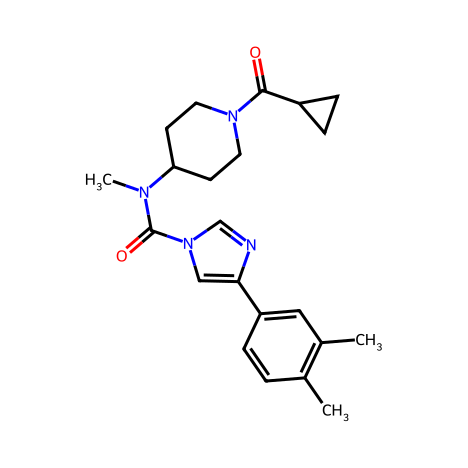 Cc1ccc(-c2cn(C(=O)N(C)C3CCN(C(=O)C4CC4)CC3)cn2)cc1C